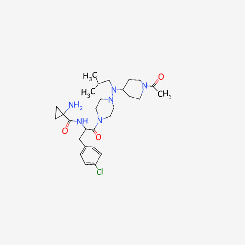 CC(=O)N1CCC(N(CC(C)C)N2CCN(C(=O)C(Cc3ccc(Cl)cc3)NC(=O)C3(N)CC3)CC2)CC1